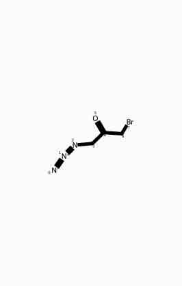 [N-]=[N+]=NCC(=O)CBr